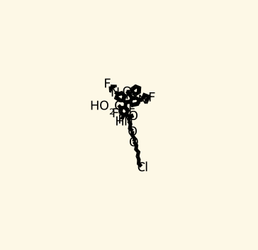 O=C(NCCOCCOCCCCCCCl)c1c(F)c(F)c(C(=O)O)c(C2=C3C=CC(=[N+]4CC(F)C4)C=C3P(=O)(c3ccccc3)c3cc(N4CC(F)C4)ccc32)c1F